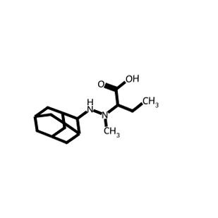 CCC(C(=O)O)N(C)NC1C2CC3CC(C2)CC1C3